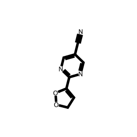 N#Cc1cnc(C2=CCOO2)nc1